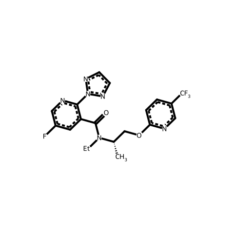 CCN(C(=O)c1cc(F)cnc1-n1nccn1)[C@@H](C)COc1ccc(C(F)(F)F)cn1